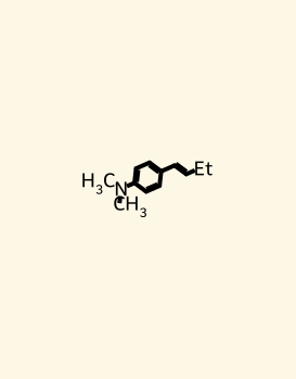 [CH2]CC=Cc1ccc(N(C)C)cc1